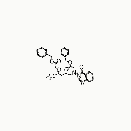 C[C@H](CCCN(CC(=O)OCc1ccccc1)n1cnc2ccccc2c1=O)OCC(=O)OCc1ccccc1